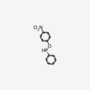 O=[N+]([O-])c1ccc(OPc2ccccc2)cc1